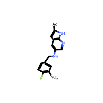 CC(=O)c1cc2cc(NCc3ccc(F)c([N+](=O)[O-])c3)cnc2[nH]1